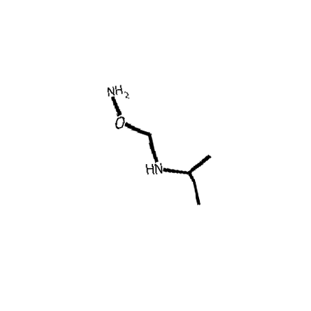 CC(C)NCON